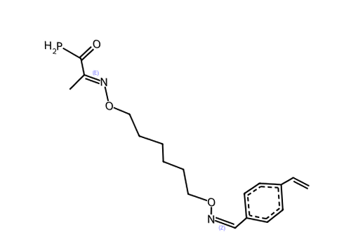 C=Cc1ccc(/C=N\OCCCCCCO/N=C(\C)C(=O)P)cc1